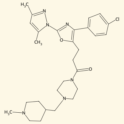 Cc1cc(C)n(-c2nc(-c3ccc(Cl)cc3)c(CCC(=O)N3CCN(CC4CCN(C)CC4)CC3)o2)n1